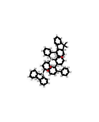 CC1(C)c2ccccc2-c2c(-c3ccccc3N(c3ccc(-n4c5ccccc5c5ccccc54)cc3)c3ccccc3-c3ccccc3-c3ccccc3)cccc21